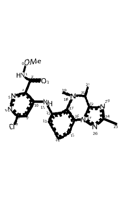 CONC(=O)c1nnc(Cl)cc1Nc1cccc2c1N(C)C(C)c1nc(C)nn1-2